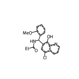 CCC(=O)NC(c1ccccc1OC)c1cc(Cl)c2cccnc2c1O